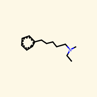 CCN(C)CCCCCc1ccccc1